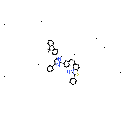 CC1(C)c2ccccc2-c2ccc(-c3cc(-c4ccccc4)nc(-c4ccc5c(ccc6ccc7c(c65)NC(C5=CCCC=C5)S7)c4)n3)cc21